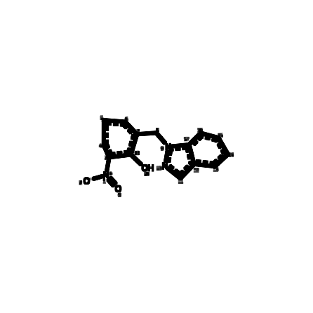 O=[N+]([O-])c1cccc(Cn2ncc3ccccc32)c1O